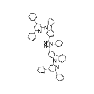 c1ccc(-c2cc(-c3ccccc3)nc(-n3c4ccccc4c4cc(-c5nnc(-c6ccc7c8ccccc8n(-c8cc(-c9ccccc9)cc(-c9ccccc9)n8)c7c6)n5-c5ccccc5)ccc43)c2)cc1